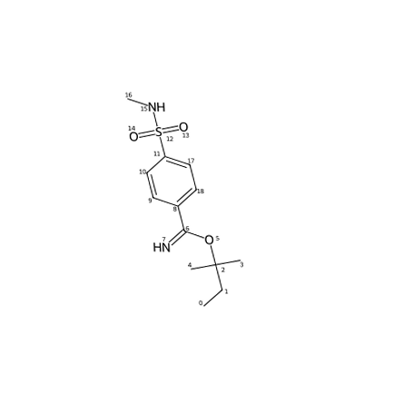 CCC(C)(C)OC(=N)c1ccc(S(=O)(=O)NC)cc1